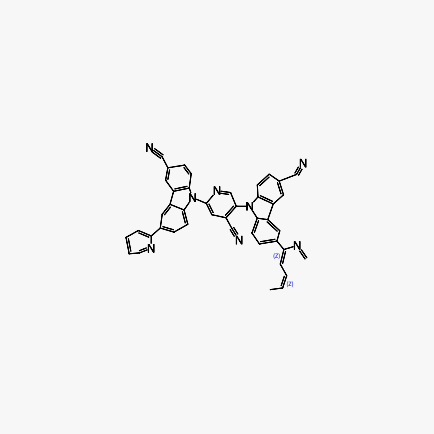 C=N/C(=C\C=C/C)c1ccc2c(c1)c1cc(C#N)ccc1n2-c1cnc(-n2c3ccc(C#N)cc3c3cc(-c4ccccn4)ccc32)cc1C#N